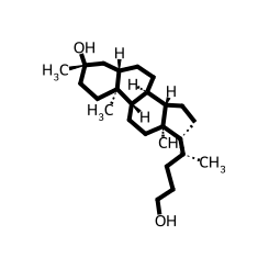 C[C@H](CCCO)[C@H]1CC[C@H]2[C@@H]3CC[C@H]4C[C@@](C)(O)CC[C@]4(C)[C@H]3CC[C@]12C